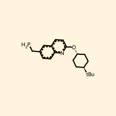 CC(C)(C)[C@H]1CC[C@H](Oc2ccc3cc(CP)ccc3n2)CC1